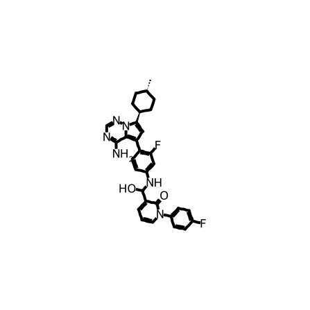 C[C@H]1CC[C@H](c2cc(-c3ccc(NC(O)c4cccn(-c5ccc(F)cc5)c4=O)cc3F)c3c(N)ncnn32)CC1